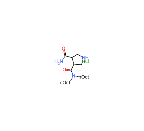 CCCCCCCCN(CCCCCCCC)C(=O)C1CNCC1C(N)=O.Cl